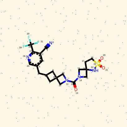 N#Cc1cc(CC2CC3(C2)CN(C(=O)N2CC4(CCS(=O)(=O)N4)C2)C3)cnc1C(F)(F)F